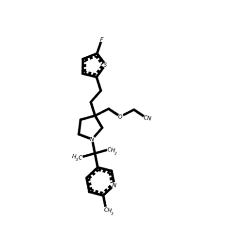 Cc1ccc(C(C)(C)N2CCC(CCc3ccc(F)s3)(COCC#N)C2)cn1